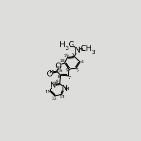 CN(C)c1ccc2cc(-c3ncccn3)c(=O)oc2c1